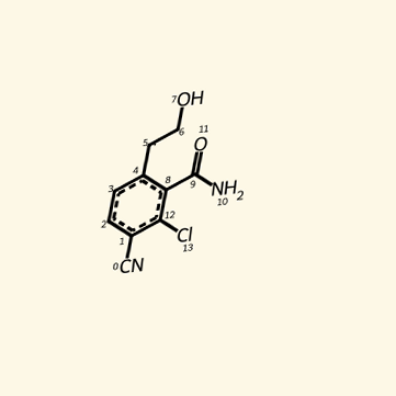 N#Cc1ccc([CH]CO)c(C(N)=O)c1Cl